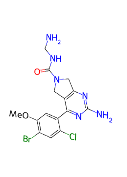 COc1cc(-c2nc(N)nc3c2CN(C(=O)NCN)C3)c(Cl)cc1Br